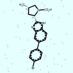 C[C@H]1C[C@@H](c2nc3cc(-c4ccc(Br)cc4)ccc3[nH]2)N(C(=O)O)C1